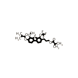 C=C(C)C(=O)OCCCc1ccc2c(sc3c(OC)c(OC(=O)C(=C)C)ccc32)c1OC(F)(F)F